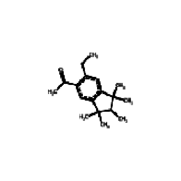 CCc1cc2c(cc1C(C)=O)C(C)(C)C(C)C2(C)C